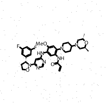 C=CC(=O)Nc1cc(Nc2cc(N3OCC[C@@H]3c3cc(F)cc(F)c3)ncn2)c(OC)cc1N1CCC(N2C[C@H](C)O[C@@H](C)C2)CC1